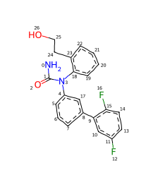 NC(=O)N(c1cccc(-c2cc(F)ccc2F)c1)c1ccccc1CCO